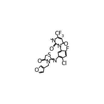 Cn1c(C(F)(F)F)cc(=O)n(-c2cc(N=C3SCC(=O)N3Cc3ccoc3)c(Cl)cc2F)c1=O